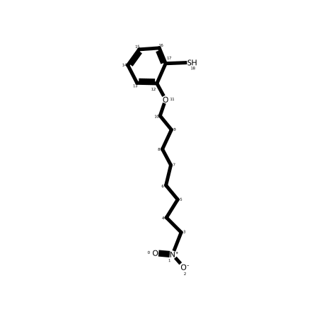 O=[N+]([O-])CCCCCCCCOc1ccccc1S